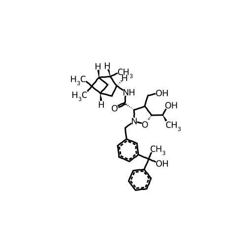 C[C@@H]1[C@@H](NC(=O)[C@@H]2C(CO)[C@H]([C@H](C)O)ON2Cc2cccc(C(C)(O)c3ccccc3)c2)C[C@H]2C[C@@H]1C2(C)C